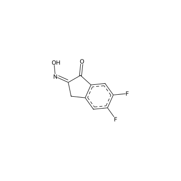 O=C1/C(=N\O)Cc2cc(F)c(F)cc21